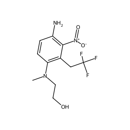 CN(CCO)c1ccc(N)c([N+](=O)[O-])c1CC(F)(F)F